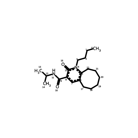 CCCCn1c2c(cc(C(=O)NC(C)C)c1=O)CCCCCC2